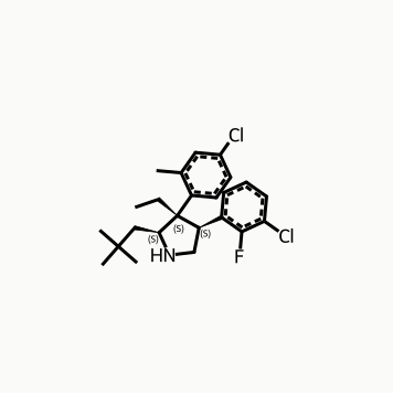 CC[C@]1(c2ccc(Cl)cc2C)[C@H](CC(C)(C)C)NC[C@@H]1c1cccc(Cl)c1F